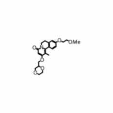 COCCOc1ccc2c(c1)CCn1c-2c(C)c(OCC2COCCO2)cc1=O